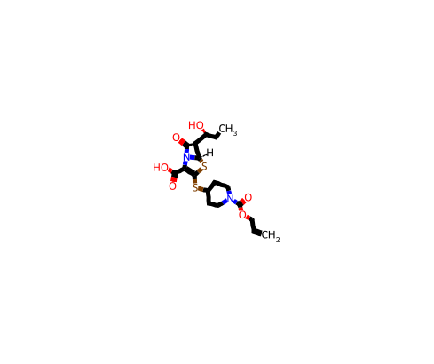 C=CCOC(=O)N1CCC(SC2=C(C(=O)O)N3C(=O)[C@@H]([C@@H](O)CC)[C@H]3S2)CC1